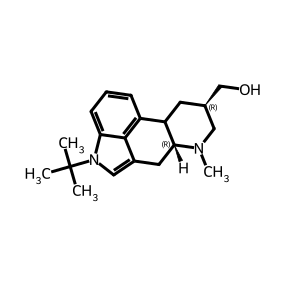 CN1C[C@H](CO)CC2c3cccc4c3c(cn4C(C)(C)C)C[C@H]21